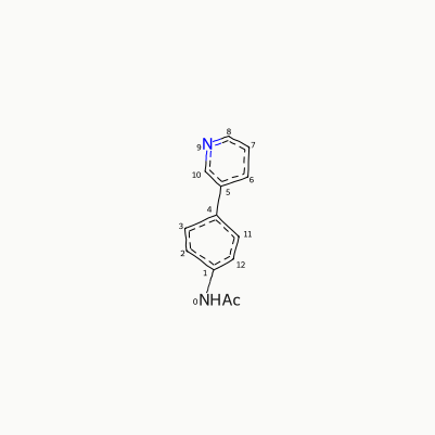 CC(=O)Nc1ccc(-c2cccnc2)cc1